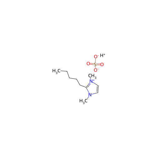 CCCCCc1n(C)cc[n+]1C.O=S(=O)([O-])[O-].[H+]